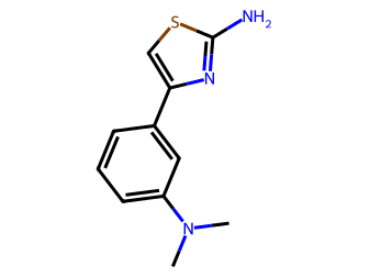 CN(C)c1cccc(-c2csc(N)n2)c1